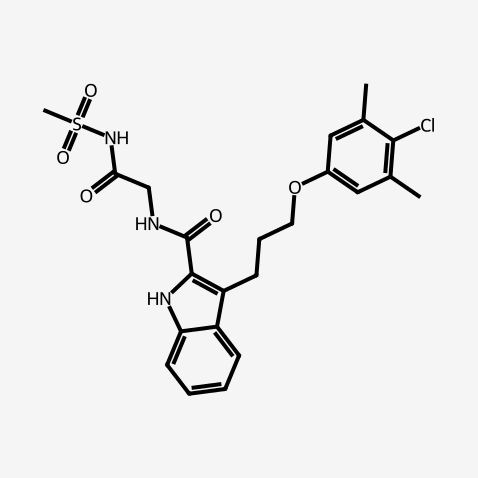 Cc1cc(OCCCc2c(C(=O)NCC(=O)NS(C)(=O)=O)[nH]c3ccccc23)cc(C)c1Cl